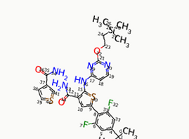 CC(C)(O)c1cc(F)c(-c2cc(C(N)=O)c(Nc3ccnc(OCC[Si](C)(C)C)n3)s2)c(F)c1.NC(=O)c1ccsc1